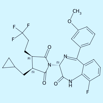 COc1cccc(C2=N[C@@H](N3C(=O)[C@@H](CC4CC4)[C@@H](CCC(F)(F)F)C3=O)C(=O)Nc3c(F)cccc32)c1